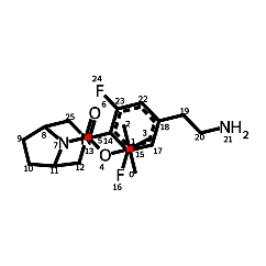 CC(C)(C)OC(=O)N1C2CCC1CN(c1c(F)cc(CCN)cc1F)C2